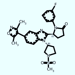 Cc1noc(C)c1-c1ccc2c(c1)nc([C@@H]1CCC(=O)N1c1cccc(F)c1)n2[C@@H]1CCN(S(C)(=O)=O)C1